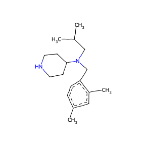 Cc1ccc(CN(CC(C)C)C2CCNCC2)c(C)c1